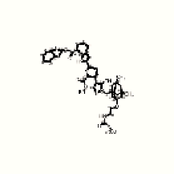 Cc1c(-c2ccc(-c3cc4cccc(C(=O)Nc5nc6ccccc6s5)c4[nH]3)nc2C(=O)OC(C)(C)C)cnn1CC12CC3(C)CC(C)(C1)CC(OCCNC(=O)OC(C)(C)C)(C3)C2